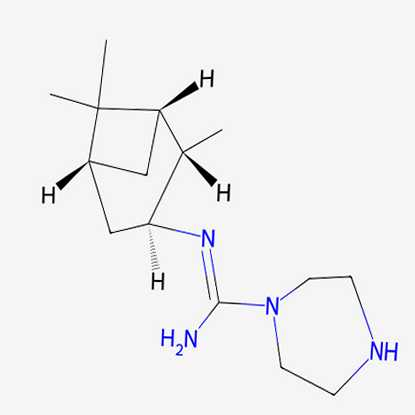 C[C@@H]1[C@@H](/N=C(\N)N2CCNCC2)C[C@H]2C[C@@H]1C2(C)C